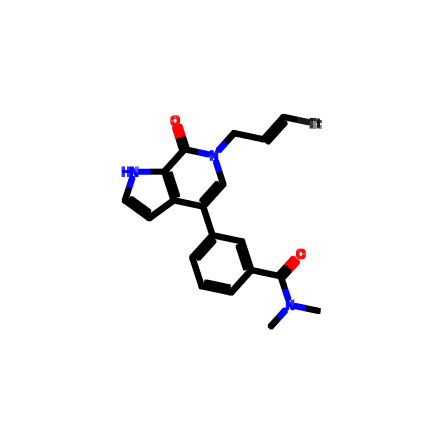 CCC=CCn1cc(-c2cccc(C(=O)N(C)C)c2)c2cc[nH]c2c1=O